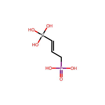 O=P(O)(O)CC=C[Si](O)(O)O